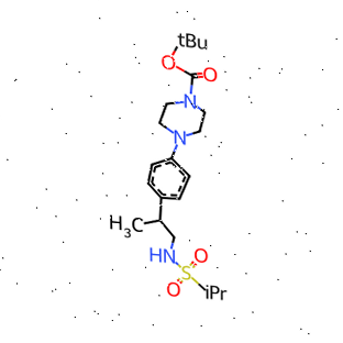 CC(CNS(=O)(=O)C(C)C)c1ccc(N2CCN(C(=O)OC(C)(C)C)CC2)cc1